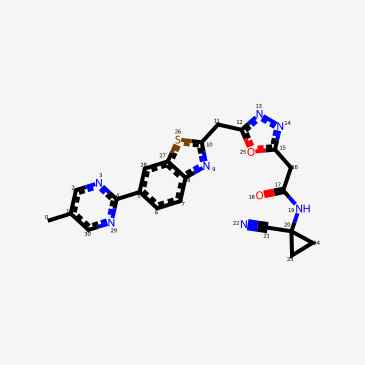 Cc1cnc(-c2ccc3nc(Cc4nnc(CC(=O)NC5(C#N)CC5)o4)sc3c2)nc1